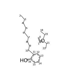 C=C.CCCCCCCCCc1ccccc1O.CCOCC